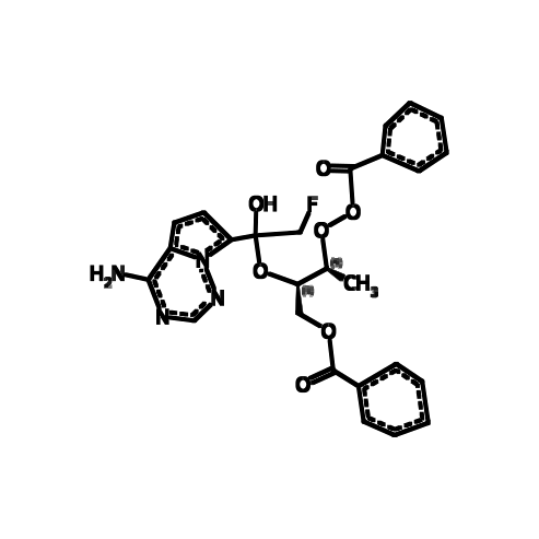 C[C@H](OOC(=O)c1ccccc1)[C@@H](COC(=O)c1ccccc1)OC(O)(CF)c1ccc2c(N)ncnn12